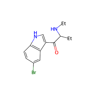 CCNC(CC)C(=O)c1c[nH]c2ccc(Br)cc12